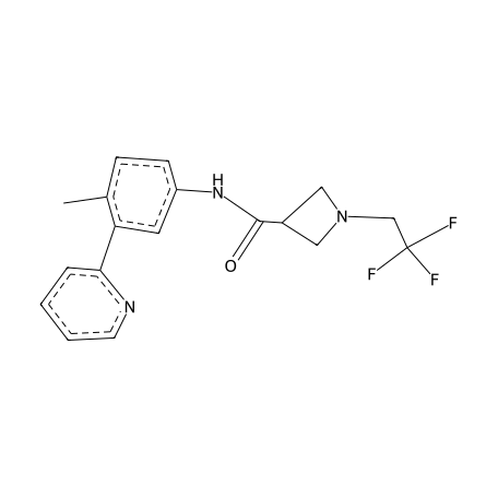 Cc1ccc(NC(=O)C2CN(CC(F)(F)F)C2)cc1-c1ccccn1